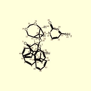 CC(C)(C)[Si](OC(C(=O)c1ccccc1)[C@@]12COCO[C@@H]([C@H](n3ccc(N)nc3=O)O1)[C@@H]2OCc1ccccc1)(c1ccccc1)c1ccccc1